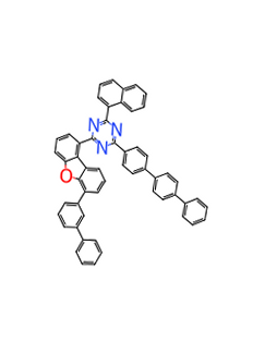 c1ccc(-c2ccc(-c3ccc(-c4nc(-c5cccc6ccccc56)nc(-c5cccc6oc7c(-c8cccc(-c9ccccc9)c8)cccc7c56)n4)cc3)cc2)cc1